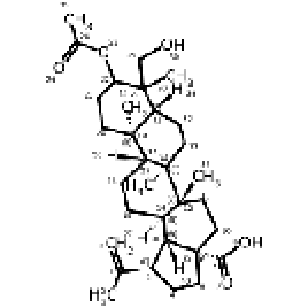 C=C(C)[C@@H]1CC[C@]2(C(=O)O)CC[C@]3(C)[C@H](CC[C@@H]4[C@@]5(C)CCC(OC(C)=O)C(C)(CO)[C@@H]5CC[C@]43C)[C@@H]12